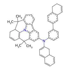 CC1(C)C2=C3C(CC=C2)C(C)(C)c2cccc4c5cc(N(C6=CC=C7C=CC=CC7C6)c6cccc(-c7ccc8c(c7)C=CCC8)c6)cc1c5n3c24